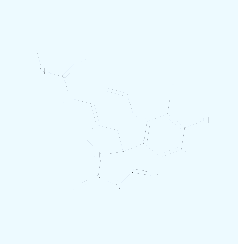 CN(C)C(=O)Oc1cccc(C2(c3ccc(Cl)c(Cl)c3)C(=O)NC(=O)N2C)c1